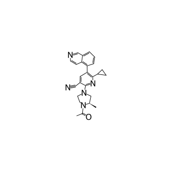 CC(=O)N1CCN(c2nc(C3CC3)c(-c3cccc4cnccc34)cc2C#N)C[C@H]1C